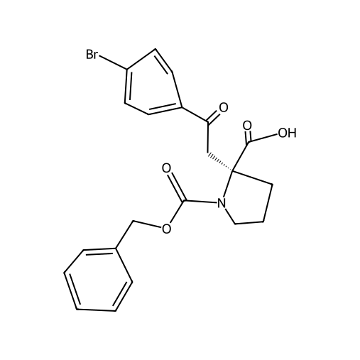 O=C(C[C@]1(C(=O)O)CCCN1C(=O)OCc1ccccc1)c1ccc(Br)cc1